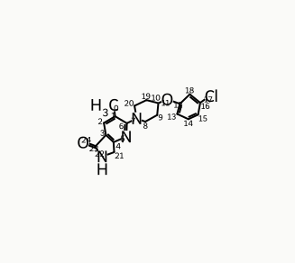 Cc1cc2c(nc1N1CCC(Oc3cccc(Cl)c3)CC1)CNC2=O